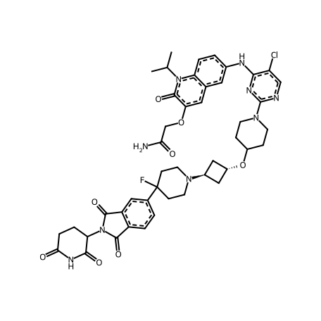 CC(C)n1c(=O)c(OCC(N)=O)cc2cc(Nc3nc(N4CCC(O[C@H]5C[C@H](N6CCC(F)(c7ccc8c(c7)C(=O)N(C7CCC(=O)NC7=O)C8=O)CC6)C5)CC4)ncc3Cl)ccc21